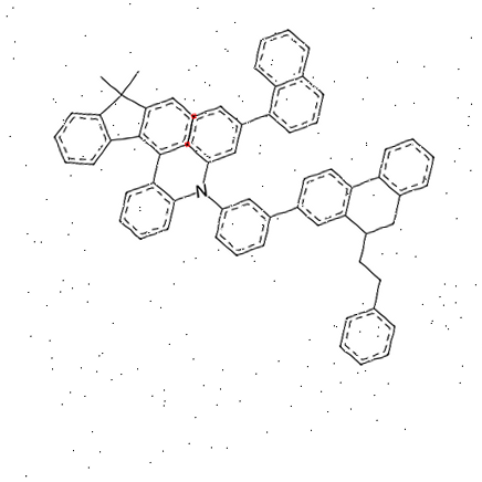 CC1(C)c2ccccc2-c2c(-c3ccccc3N(c3cccc(-c4ccc5c(c4)C(CCc4ccccc4)Cc4ccccc4-5)c3)c3cccc(-c4cccc5ccccc45)c3)cccc21